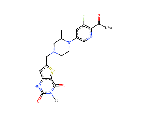 CCn1c(=O)[nH]c2cc(CN3CCN(c4cnc(C(=O)NC)c(F)c4)C(C)C3)sc2c1=O